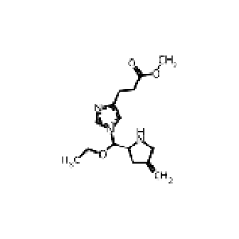 C=C1CN[C@H](C(OCC)n2cnc(CCC(=O)OC)c2)C1